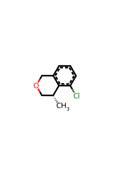 C[C@@H]1COCc2cccc(Cl)c21